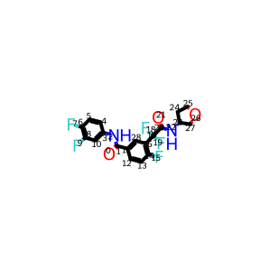 O=C(Nc1ccc(F)c(F)c1)c1ccc(F)c(C(F)(F)C(=O)N[C@H]2CCOC2)c1